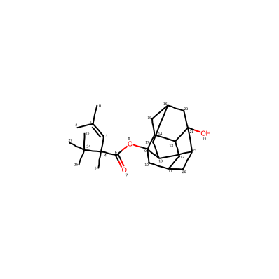 CC(C)=CC(C)(C(=O)OC12CC3CC4C1CC1CC2C(C3)C4(O)C1)C(C)(C)C